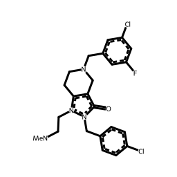 CNCCn1c2c(c(=O)n1Cc1ccc(Cl)cc1)CN(Cc1cc(F)cc(Cl)c1)CC2